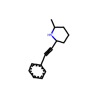 CC1CCCC(C#Cc2ccccc2)N1